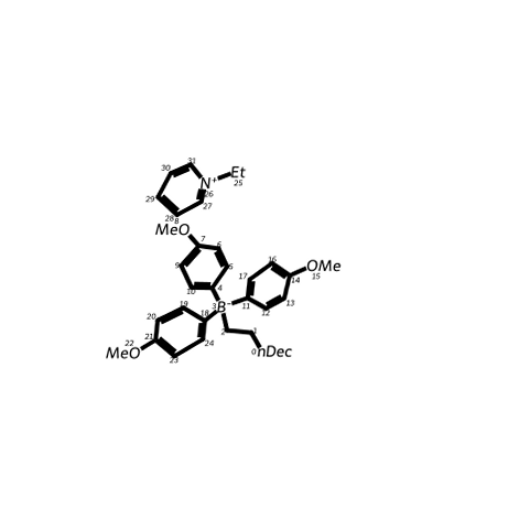 CCCCCCCCCCCC[B-](c1ccc(OC)cc1)(c1ccc(OC)cc1)c1ccc(OC)cc1.CC[n+]1ccccc1